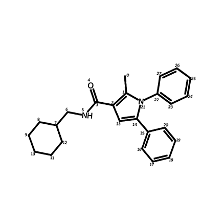 Cc1c(C(=O)NCC2CCCCC2)cc(-c2ccccc2)n1-c1ccccc1